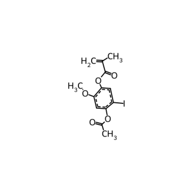 C=C(C)C(=O)Oc1cc(I)c(OC(C)=O)cc1OC